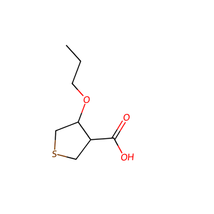 CCCOC1CSCC1C(=O)O